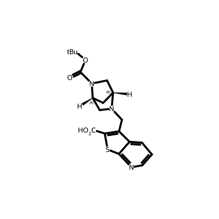 CC(C)(C)OC(=O)N1C[C@H]2C[C@@H]1CN2Cc1c(C(=O)O)sc2ncccc12